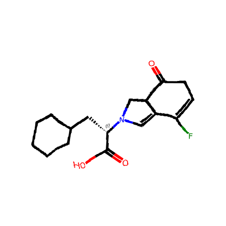 O=C1CC=C(F)C2=CN([C@@H](CC3CCCCC3)C(=O)O)CC12